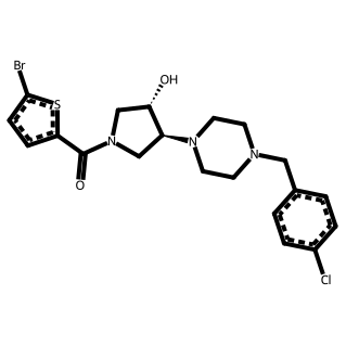 O=C(c1ccc(Br)s1)N1C[C@H](O)[C@@H](N2CCN(Cc3ccc(Cl)cc3)CC2)C1